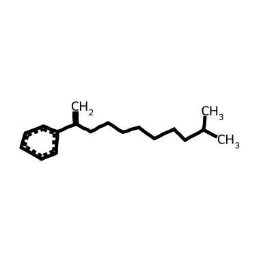 C=C(CCCCCCCC(C)C)c1ccccc1